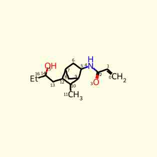 C=CC(=O)NC1CC2CC1C(C)C2CC(O)CC